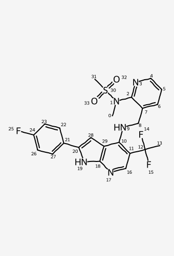 CN(c1ncccc1CNc1c(C(C)(F)F)cnc2[nH]c(-c3ccc(F)cc3)cc12)S(C)(=O)=O